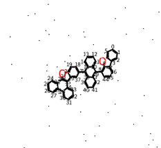 c1ccc2c(c1)oc1c(-c3c4ccccc4c(-c4ccc5oc6c7ccccc7c7ccccc7c6c5c4)c4ccccc34)cccc12